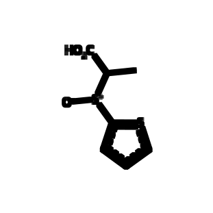 CC(C(=O)O)[S+]([O-])c1cccs1